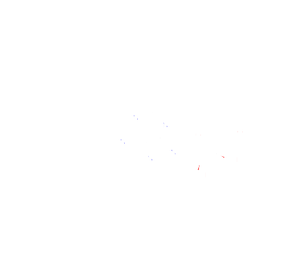 COC[C@H]1O[C@@H](n2cnc3c(Nc4cccc(O)c4)nc(C)nc32)[C@H](O)[C@@H]1O